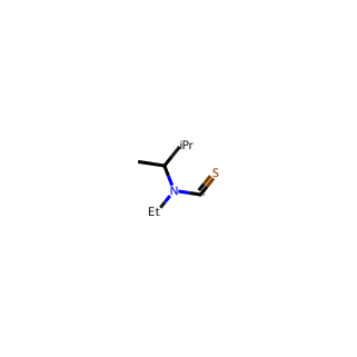 CCN([C]=S)C(C)C(C)C